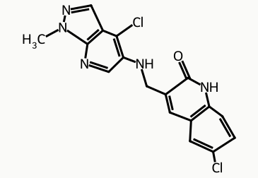 Cn1ncc2c(Cl)c(NCc3cc4cc(Cl)ccc4[nH]c3=O)cnc21